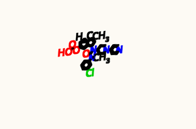 CN(C(=O)N(C1CCN(c2ccncc2)CC1)C1CC(C)(C)c2ccc(OC(=O)O)cc21)c1cccc(Cl)c1